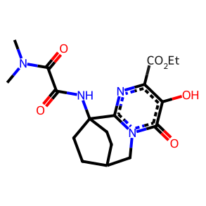 CCOC(=O)c1nc2n(c(=O)c1O)CC1CCC2(NC(=O)C(=O)N(C)C)CC1